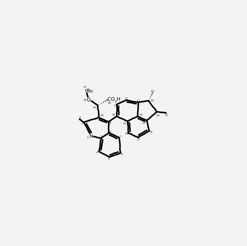 Cc1nc2ccccc2c(-c2ccc3c4c(cccc24)C(C)[C@H]3C)c1[C@H](OC(C)(C)C)C(=O)O